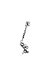 CCC(C)(C)C(=O)OCCCCCCCCCCCOc1cc2oc(=O)c(-c3cc(F)cc(F)c3)cc2cn1